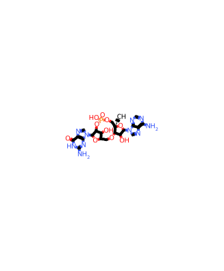 C#C[C@@]12COP(=O)(O)OC3C(O)C(COC1C(O)C(n1cnc4c(N)ncnc41)O2)OC3n1cnc2c(=O)[nH]c(N)nc21